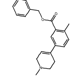 Cc1ccc(C2=CCN(C)CC2)cc1C(=O)OCc1ccccc1